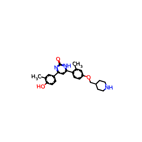 Cc1cc(-c2cc(-c3ccc(OCC4CCNCC4)cc3C)[nH]c(=O)n2)ccc1O